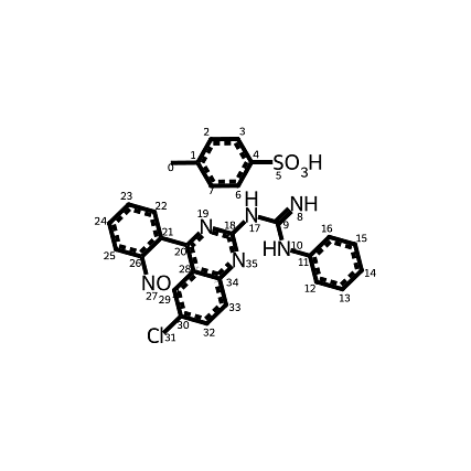 Cc1ccc(S(=O)(=O)O)cc1.N=C(Nc1ccccc1)Nc1nc(-c2ccccc2[N+](=O)[O-])c2cc(Cl)ccc2n1